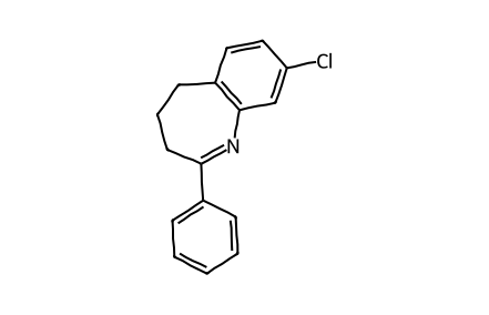 Clc1ccc2c(c1)N=C(c1ccccc1)CCC2